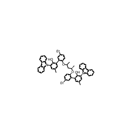 CCc1ccc(OC(C)C[C@@H](C)Oc2ccc(CC)cc2-c2cc(C)cc(-n3c4ccccc4c4ccccc43)c2O)c(-c2cc(C)cc(-n3c4ccccc4c4ccccc43)c2O)c1